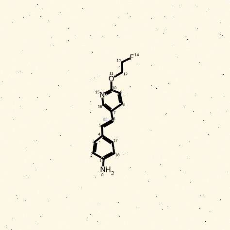 Nc1ccc(/C=C/c2ccc(OCCF)nc2)cc1